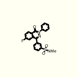 CNS(=O)(=O)c1cccc(-c2nn(-c3ccccc3)c(=O)c3ccc(F)cc23)c1